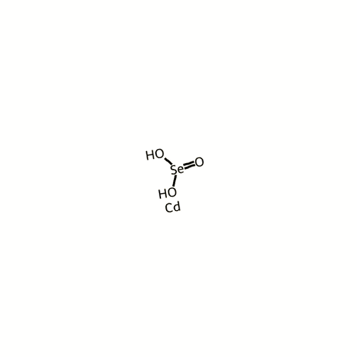 O=[Se](O)O.[Cd]